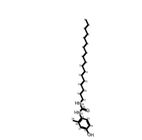 CCCCCCCCCCCCCCCCCCNC(=O)Nc1ccc(O)cc1C